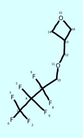 FC(F)(F)C(F)(F)C(F)(F)COCC1COC1